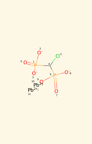 O=P([O-])([O-])C(Cl)P(=O)([O-])[O-].[Pb+2].[Pb+2]